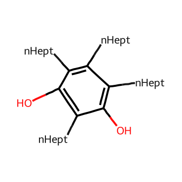 CCCCCCCc1c(O)c(CCCCCCC)c(CCCCCCC)c(CCCCCCC)c1O